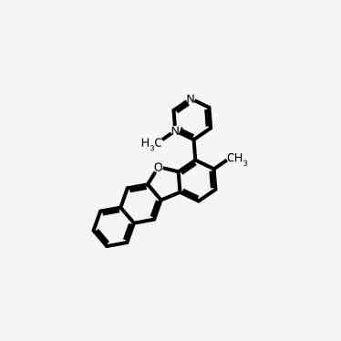 Cc1ccc2c(oc3cc4ccccc4cc32)c1-c1ccnc[n+]1C